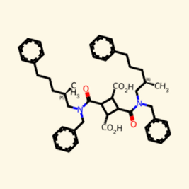 C[C@H](CCCc1ccccc1)CN(Cc1ccccc1)C(=O)C1C(C(=O)O)C(C(=O)N(Cc2ccccc2)C[C@H](C)CCCc2ccccc2)C1C(=O)O